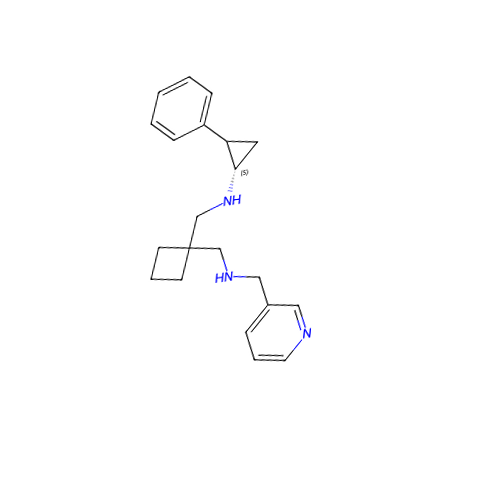 c1ccc(C2C[C@@H]2NCC2(CNCc3cccnc3)CCC2)cc1